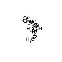 Cc1nn(C2CCN(C)C2)cc1Nc1ncc(C#N)c(NCCCN2CCCCOC2=O)n1